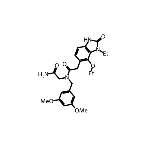 CCOc1c(CC(=O)N(CC(N)=O)Cc2cc(OC)cc(OC)c2)ccc2[nH]c(=O)n(CC)c12